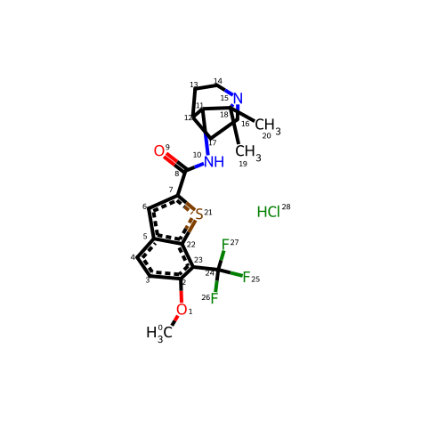 COc1ccc2cc(C(=O)NC3C4CCN(CC4)C3(C)C)sc2c1C(F)(F)F.Cl